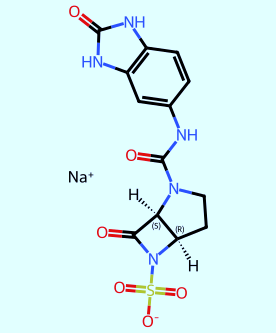 O=C(Nc1ccc2[nH]c(=O)[nH]c2c1)N1CC[C@@H]2[C@H]1C(=O)N2S(=O)(=O)[O-].[Na+]